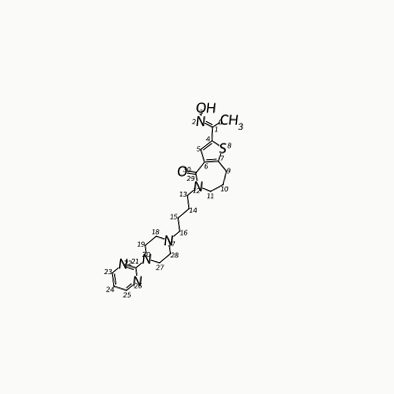 CC(=NO)c1cc2c(s1)CCCN(CCCCN1CCN(c3ncccn3)CC1)C2=O